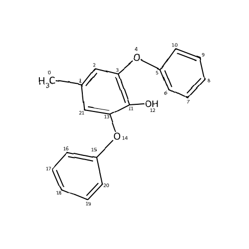 Cc1cc(Oc2ccccc2)c(O)c(Oc2ccccc2)c1